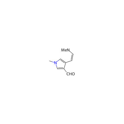 CN/C=C\c1cn(C)cc1C=O